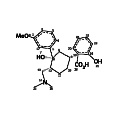 COc1cccc([C@@]2(O)CCCC[C@@H]2CN(C)C)c1.O=C(O)c1ccccc1O